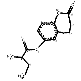 CCC(C)C(=O)Oc1ccc2c(c1)CCC(=O)O2